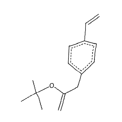 C=Cc1ccc(CC(=C)OC(C)(C)C)cc1